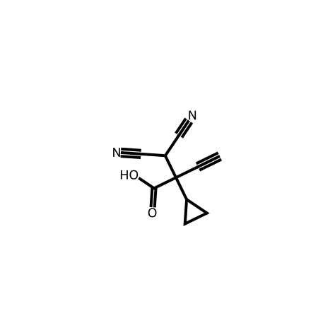 C#CC(C(=O)O)(C(C#N)C#N)C1CC1